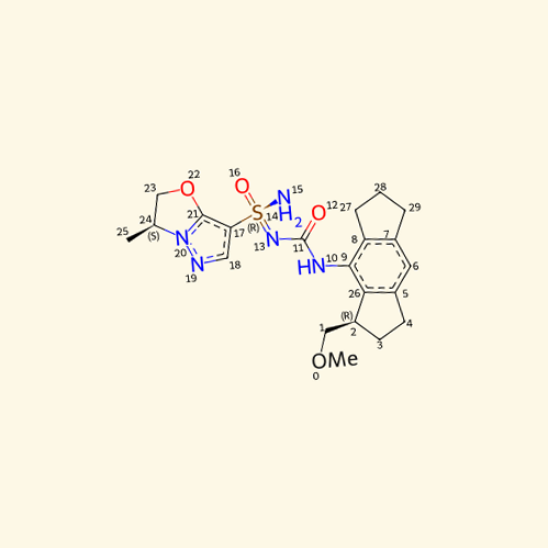 COC[C@@H]1CCc2cc3c(c(NC(=O)N=[S@@](N)(=O)c4cnn5c4OC[C@@H]5C)c21)CCC3